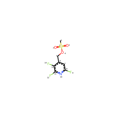 CS(=O)(=O)OCc1cc(F)nc(F)c1F